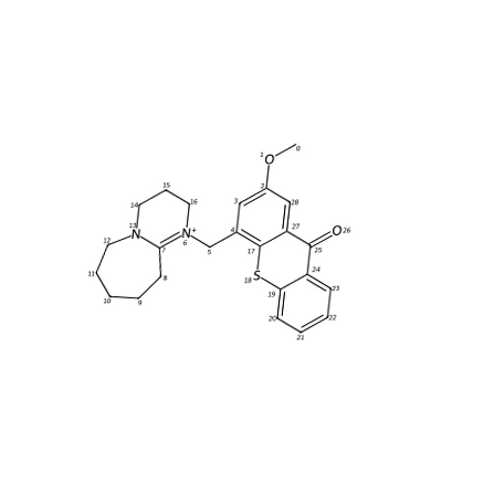 COc1cc(C[N+]2=C3CCCCCN3CCC2)c2sc3ccccc3c(=O)c2c1